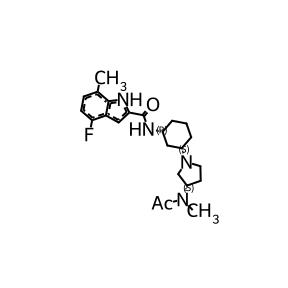 CC(=O)N(C)[C@H]1CCN([C@H]2CCC[C@@H](NC(=O)c3cc4c(F)ccc(C)c4[nH]3)C2)C1